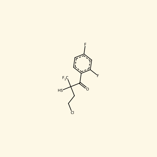 O=C(c1ccc(F)cc1F)C(S)(CCCl)C(F)(F)F